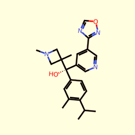 Cc1cc([C@](O)(c2cncc(-c3ncon3)c2)C2(C)CN(C)C2)ccc1C(C)C